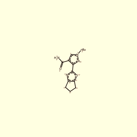 CCCCn1cc(C(N)=O)c(-c2nc3c(s2)CCC3)n1